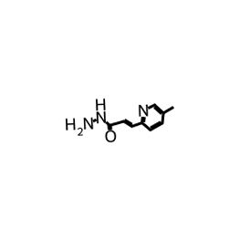 Cc1ccc(C=CC(=O)NN)nc1